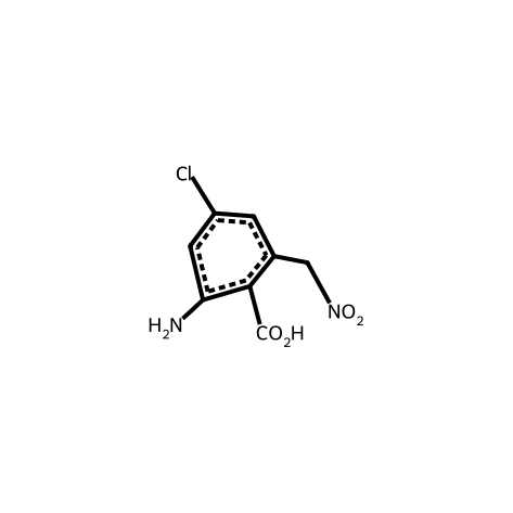 Nc1cc(Cl)cc(C[N+](=O)[O-])c1C(=O)O